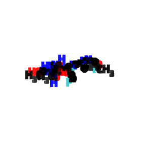 CC(F)Oc1ccc(CN2CCN(C3CC4(CCN(c5ccc(C(=O)NS(=O)(=O)c6cc([NH+](C)[O-])c(NC[C@H]7CC[C@](C)(O)CC7)c7[nH]cnc67)c(Oc6cc7c(cc6F)CC=C7F)c5)CC4)C3)[C@H](c3ccccc3C(C)C)C2)cc1